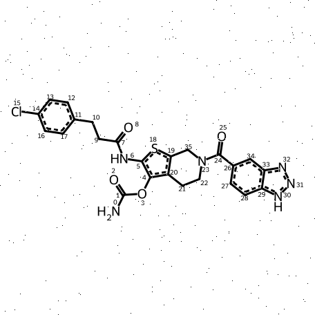 NC(=O)Oc1c(NC(=O)CCc2ccc(Cl)cc2)sc2c1CCN(C(=O)c1ccc3[nH]nnc3c1)C2